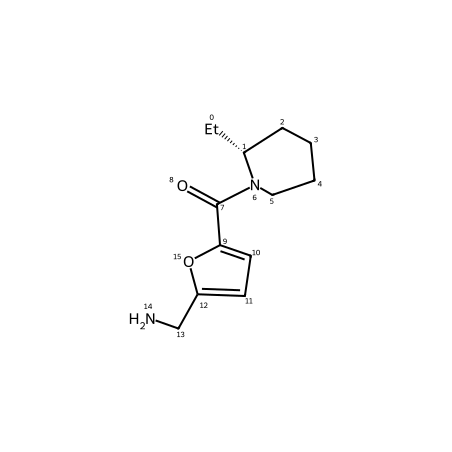 CC[C@@H]1CCCCN1C(=O)c1ccc(CN)o1